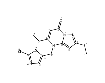 CCc1cc(=O)n2nc(SC)cc2n1Cc1cnc(Cl)s1